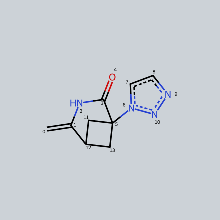 C=C1NC(=O)C2(n3ccnn3)CC1C2